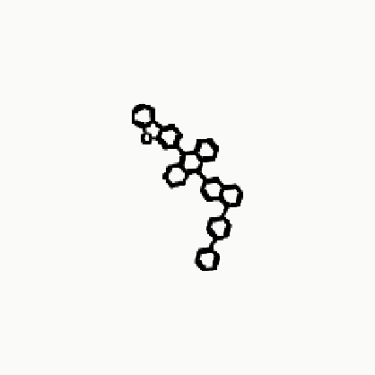 c1ccc(-c2ccc(-c3cccc4cc(-c5c6ccccc6c(-c6ccc7c(c6)oc6ccccc67)c6ccccc56)ccc34)cc2)cc1